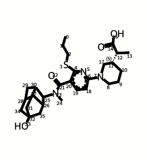 CCCSc1nc(N2CCC[C@@H](C(C)C(=O)O)C2)ccc1C(=O)N(C)C1C2CC3CC1CC(O)(C3)C2